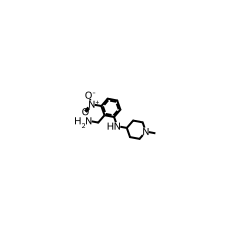 CN1CCC(Nc2cccc([N+](=O)[O-])c2CN)CC1